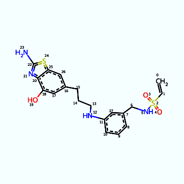 C=CS(=O)(=O)NCc1cccc(NCCCc2cc(O)c3nc(N)sc3c2)c1